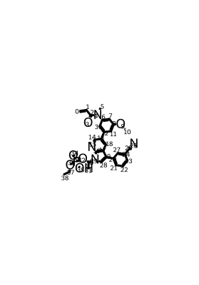 C=CC(=O)N(C)c1cc(OC)cc(-c2cnc3c(c2)c(-c2cccc(C#N)c2)cn3C(C)OP(=O)(O)OCC)c1